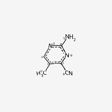 Cc1cnc(N)nc1C#N